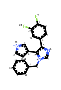 Fc1ccc(-c2ncn(Cc3ccccc3)c2-c2cc[nH]c2)cc1F